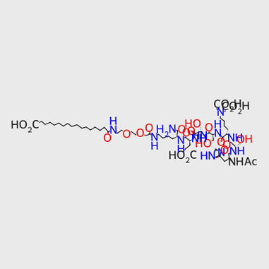 CC(=O)N[C@@H](Cc1c[nH]cn1)C(=O)N[C@@H](CO)C(=O)N[C@@H](CCCCN(CC(=O)O)CC(=O)O)C(=O)N[C@@H](CO)C(=O)N[C@@H](CO)C(=O)N[C@@H](CCC(=O)O)C(=O)N[C@@H](CCCCNC(=O)COCCOCCNC(=O)CCCCCCCCCCCCCCCC(=O)O)C(N)=O